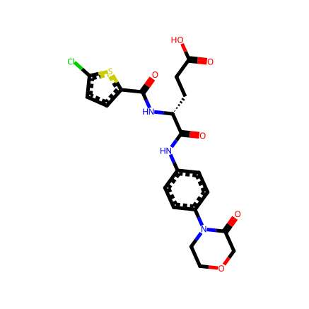 O=C(O)CC[C@@H](NC(=O)c1ccc(Cl)s1)C(=O)Nc1ccc(N2CCOCC2=O)cc1